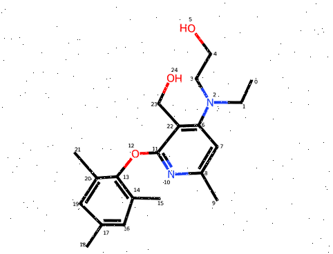 CCN(CCO)c1cc(C)nc(Oc2c(C)cc(C)cc2C)c1CO